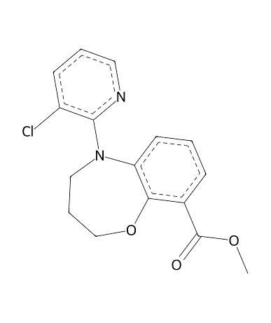 COC(=O)c1cccc2c1OCCCN2c1ncccc1Cl